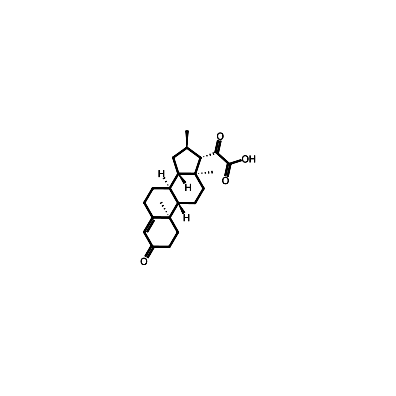 C[C@@H]1C[C@H]2[C@@H]3CCC4=CC(=O)CC[C@]4(C)[C@H]3CC[C@]2(C)[C@H]1C(=O)C(=O)O